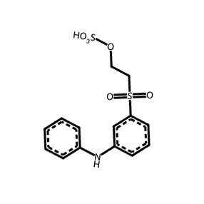 O=S(=O)(O)OCCS(=O)(=O)c1cccc(Nc2ccccc2)c1